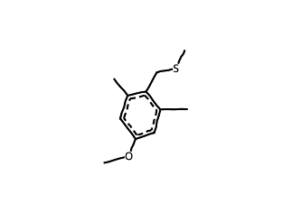 COc1cc(C)c(CSC)c(C)c1